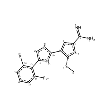 CSc1sc(C(=N)N)cc1-c1nc(-c2c(F)cccc2F)cs1